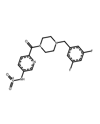 O=C(c1ccc(N[SH](=O)=O)cn1)N1CCN(Cc2cc(F)cc(F)c2)CC1